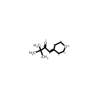 CC(C)(C)C(=O)C=C1CCOCC1